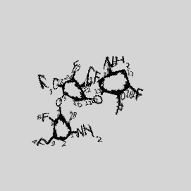 Nc1cc(F)c(F)c(Oc2cc(Oc3cc(N)cc(F)c3F)c(C(F)(F)F)c(F)c2C(F)(F)F)c1